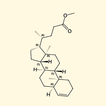 COC(=O)CC[C@@H](C)[C@H]1CC[C@H]2[C@@H]3CC[C@@H]4C=CCC[C@]4(C)[C@H]3CC[C@]12C